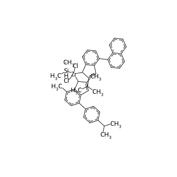 CC1=Cc2c(-c3ccc(C(C)C)cc3)ccc(C)c2[CH]1[Zr]([Cl])([Cl])([CH]1C(C(C)C)=Cc2c(-c3cccc4ccccc34)cccc21)[SiH](C)C